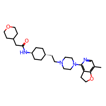 Cc1cnc(N2CCN(CC[C@H]3CC[C@H](NC(=O)CC4CCOCC4)CC3)CC2)c2c1OCC2